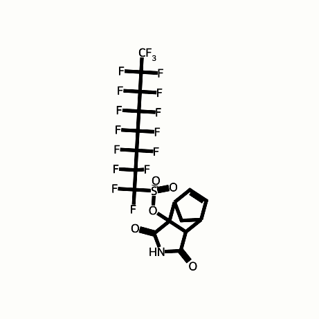 O=C1NC(=O)C2(OS(=O)(=O)C(F)(F)C(F)(F)C(F)(F)C(F)(F)C(F)(F)C(F)(F)C(F)(F)C(F)(F)F)C3C=CC(C3)C12